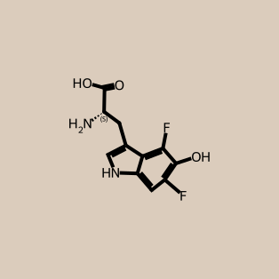 N[C@@H](Cc1c[nH]c2cc(F)c(O)c(F)c12)C(=O)O